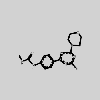 CNC(=O)Nc1ccc(-c2nc(Cl)nc(N3CCOCC3)n2)cc1